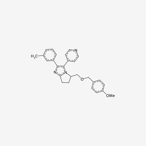 COc1ccc(COCC2CCc3nc(-c4cccc(C)c4)c(-c4ccncc4)n32)cc1